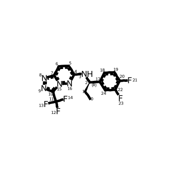 CC[C@@H](Nc1ccc2nnc(C(F)(F)F)n2n1)c1ccc(F)c(F)c1